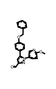 COc1ccc(-n2nc(C=O)cc2-c2ccc(OCc3ccccc3)cc2)cn1